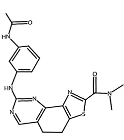 CC(=O)Nc1cccc(Nc2ncc3c(n2)-c2nc(C(=O)N(C)C)sc2CC3)c1